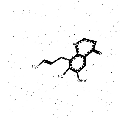 C/C=C/Cc1c(O)c(OC)cc2c(=O)cc[nH]c12